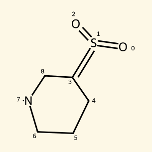 O=S(=O)=C1CCC[N]C1